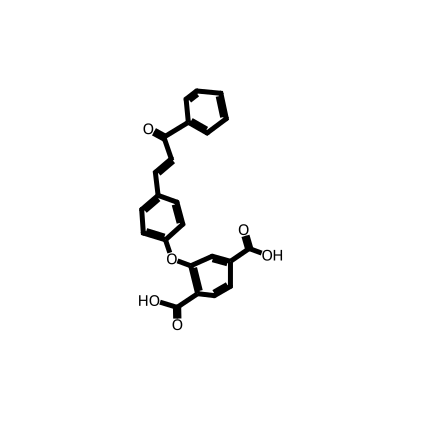 O=C(O)c1ccc(C(=O)O)c(Oc2ccc(C=CC(=O)c3ccccc3)cc2)c1